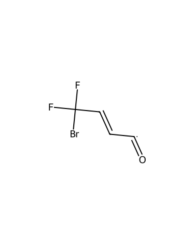 O=[C]C=CC(F)(F)Br